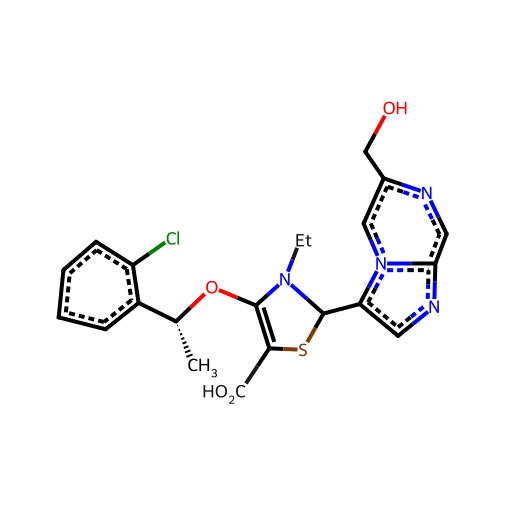 CCN1C(O[C@H](C)c2ccccc2Cl)=C(C(=O)O)SC1c1cnc2cnc(CO)cn12